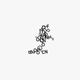 C[C@H](Oc1cc(O[C@H]2CCN(C(=O)OC(C)(C)C)[C@H](CC#N)C2)nc(C(N)=NOC(=O)C2(c3c(F)cccc3F)CCC2)n1)[C@@H]1C[C@@H](F)CN1C